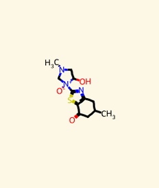 CC1CC(=O)c2sc([N+]3([O-])CN(C)CC3O)nc2C1